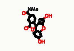 CNC(=O)c1ccc2c(c1)C(=O)OC21c2ccc(O)cc2Oc2cc(O)ccc21